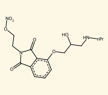 CCCNCC(O)COc1cccc2c1C(=O)N(CCO[N+](=O)[O-])C2=O